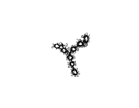 CC1(C)c2ccccc2-c2ccc(N(c3ccc(-c4ccc(-c5ccccc5)cc4)cc3)c3ccc(-c4ccc5c6c(oc5c4)C=CCC6)cc3)cc21